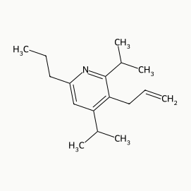 C=CCc1c(C(C)C)cc(CCC)nc1C(C)C